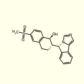 CS(=O)(=O)c1ccc2c(c1)CC[C@@H]([C@H]1c3ccccc3-c3cncn31)[C@@H]2O